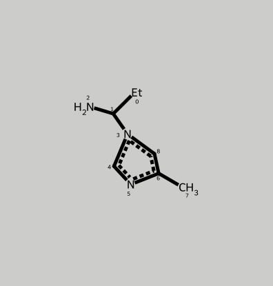 CCC(N)n1cnc(C)c1